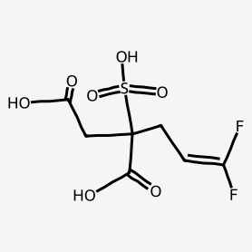 O=C(O)CC(CC=C(F)F)(C(=O)O)S(=O)(=O)O